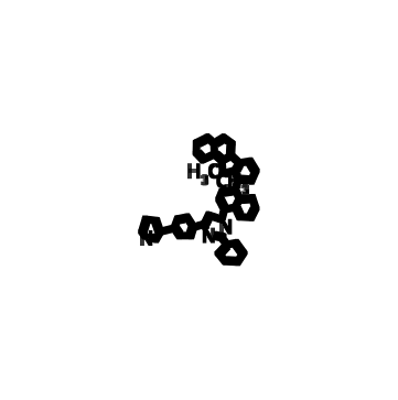 CC1(C)c2c(cccc2-c2ccc(-c3cc(-c4ccc(-c5cccnc5)cc4)nc(-c4ccccc4)n3)c3ccccc23)-c2ccc3ccccc3c21